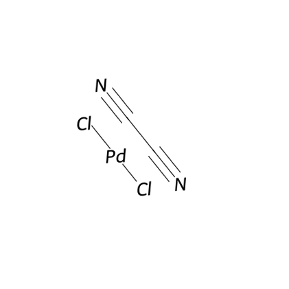 N#CC#N.[Cl][Pd][Cl]